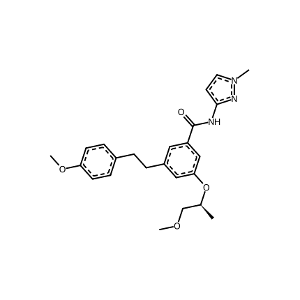 COC[C@H](C)Oc1cc(CCc2ccc(OC)cc2)cc(C(=O)Nc2ccn(C)n2)c1